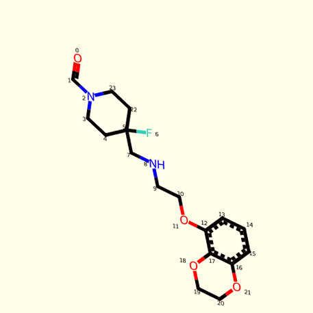 O=CN1CCC(F)(CNCCOc2cccc3c2OCCO3)CC1